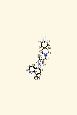 CC[C@@H]1CN(c2ccc(C#N)c3ncccc23)CC1CN1CCC2(CCNCC2)CC1